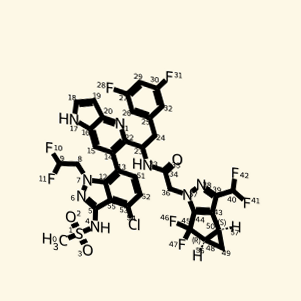 CS(=O)(=O)Nc1nn(CC(F)F)c2c(-c3cc4[nH]ccc4nc3C(Cc3cc(F)cc(F)c3)NC(=O)Cn3nc(C(F)F)c4c3C(F)(F)[C@@H]3C[C@H]43)ccc(Cl)c12